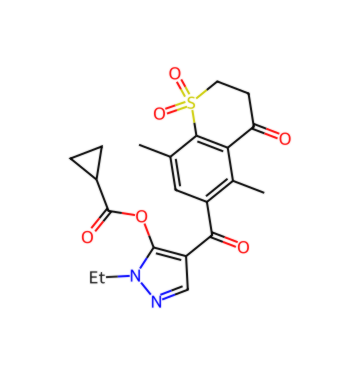 CCn1ncc(C(=O)c2cc(C)c3c(c2C)C(=O)CCS3(=O)=O)c1OC(=O)C1CC1